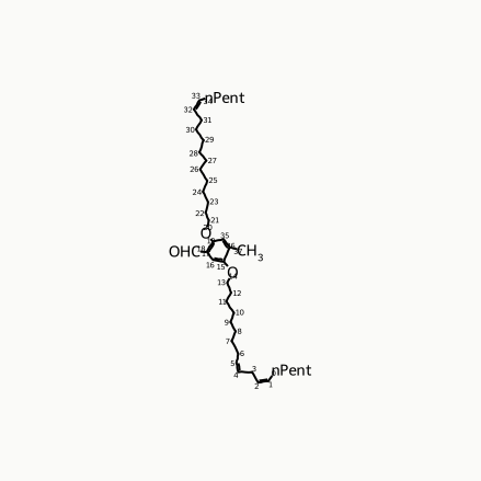 CCCCC/C=C\C/C=C\CCCCCCCCOc1cc(C=O)c(OCCCCCCCCCCC/C=C\CCCCC)cc1C